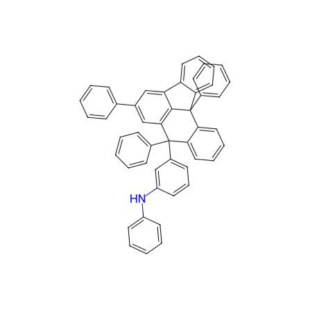 c1ccc(Nc2cccc(C3(c4ccccc4)c4ccccc4C4(c5ccccc5)c5ccccc5-c5cc(-c6ccccc6)cc3c54)c2)cc1